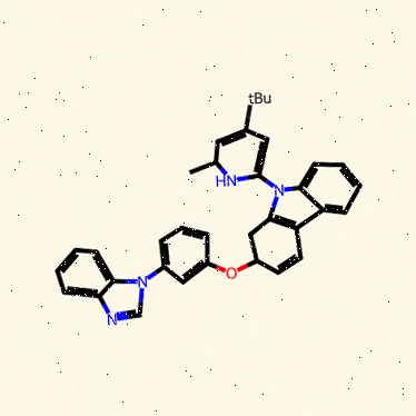 CC1C=C(C(C)(C)C)C=C(n2c3c(c4ccccc42)C=CC(Oc2cccc(-n4cnc5ccccc54)c2)C3)N1